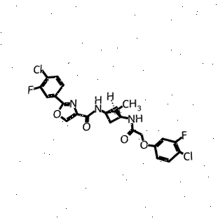 C[C@H]1C2(NC(=O)COc3ccc(Cl)c(F)c3)CC1(NC(=O)c1coc(-c3ccc(Cl)c(F)c3)n1)C2